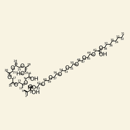 C=C(C)C(=O)O.CC(O)COC(C)COC(C)COC(C)COC(C)COC(C)CO.CCCCCCCCOC(O)COCCOCCOCCOCCOCCOCCOCCO